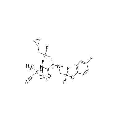 CC(C)(C#N)NC(=O)[C@H](CC(F)(F)CC1CC1)NCC(F)(F)Oc1ccc(F)cc1